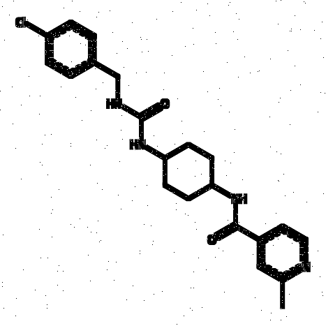 Cc1cc(C(=O)NC2CCC(NC(=O)NCc3ccc(Cl)cc3)CC2)ccn1